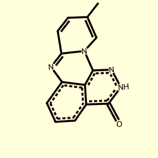 CC1=CN2C(=Nc3cccc4c(=O)[nH]nc2c34)C=C1